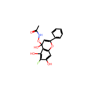 CC(=O)NOC1(O)C=C(c2ccccc2)Oc2cc(O)c(F)c(O)c21